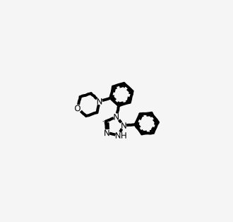 [C]1=NNN(c2ccccc2)N1c1ccccc1N1CCOCC1